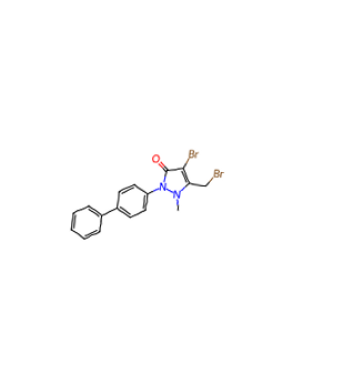 Cn1c(CBr)c(Br)c(=O)n1-c1ccc(-c2ccccc2)cc1